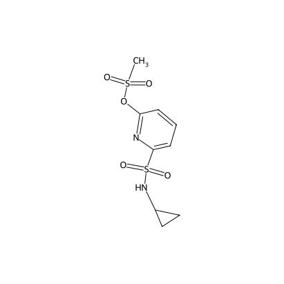 CS(=O)(=O)Oc1cccc(S(=O)(=O)NC2CC2)n1